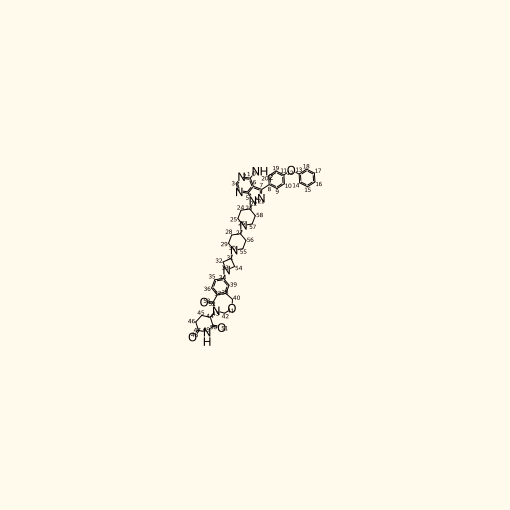 Nc1ncnc2c1c(-c1ccc(Oc3ccccc3)cc1)nn2C1CCN(C2CCN(C3CN(c4ccc5c(c4)COCN(C4CCC(=O)NC4=O)C5=O)C3)CC2)CC1